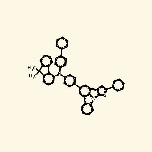 CC1(C)c2ccccc2-c2c(N(c3ccc(-c4ccccc4)cc3)c3ccc(-c4cc5c6ccccc6n6c7sc(-c8ccccc8)cc7c(c4)c56)cc3)cccc21